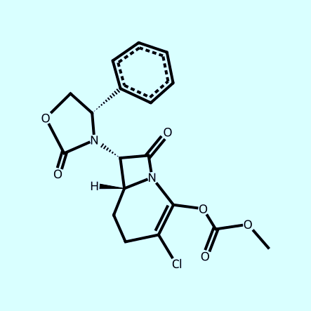 COC(=O)OC1=C(Cl)CC[C@@H]2[C@H](N3C(=O)OC[C@@H]3c3ccccc3)C(=O)N12